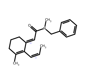 C/C=C\C1=C(C)CCC/C1=C\C(=O)N(C)Cc1ccccc1